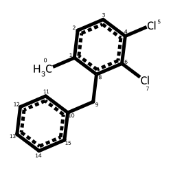 Cc1ccc(Cl)c(Cl)c1Cc1ccccc1